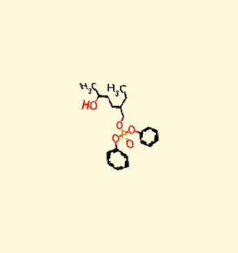 CCC(CCC(C)O)COP(=O)(Oc1ccccc1)Oc1ccccc1